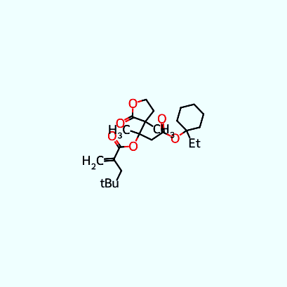 C=C(CC(C)(C)C)C(=O)OC(C)(CC(=O)OC1(CC)CCCCC1)C1(C)CCOC1=O